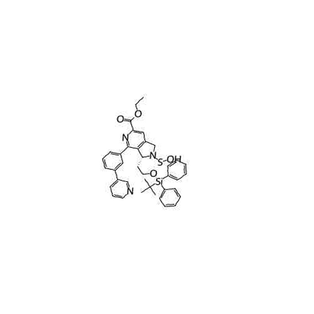 CCOC(=O)c1cc2c(c(-c3cccc(-c4cccnc4)c3)n1)[C@@H](CCO[Si](c1ccccc1)(c1ccccc1)C(C)(C)C)N(SO)C2